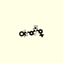 CC1(c2cccc(-c3nc(O)nc(-c4cc(CNC(=O)C5(CF)CCCCCC5)ccc4Cl)n3)c2)CC1